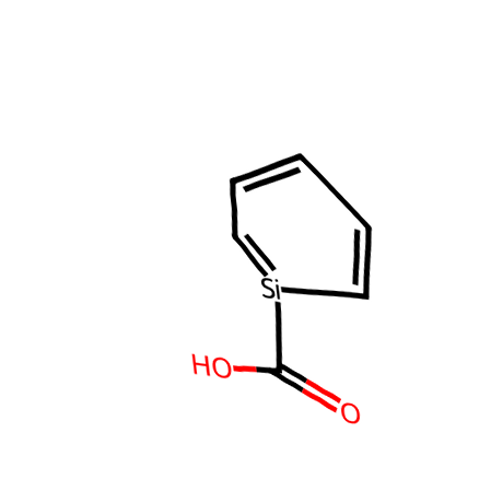 O=C(O)[si]1ccccc1